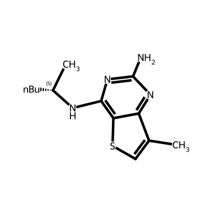 CCCC[C@H](C)Nc1nc(N)nc2c(C)csc12